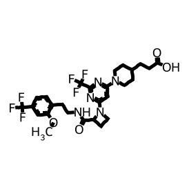 COc1cc(C(F)(F)F)ccc1CCNC(=O)C1CCN1c1cc(N2CCC(CCC(=O)O)CC2)nc(C(F)(F)F)n1